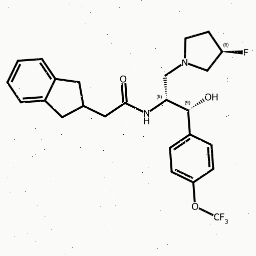 O=C(CC1Cc2ccccc2C1)N[C@H](CN1CC[C@@H](F)C1)[C@H](O)c1ccc(OC(F)(F)F)cc1